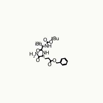 CC[C@H](C)[C@H](NC(=O)OC(C)(C)C)C(=O)N[C@H](CCC(=O)OCc1ccccc1)C(N)=O